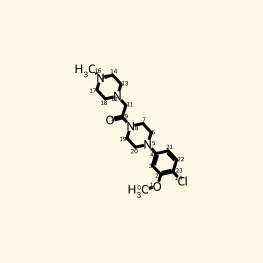 COc1cc(N2CCN(C(=O)CN3CCN(C)CC3)CC2)ccc1Cl